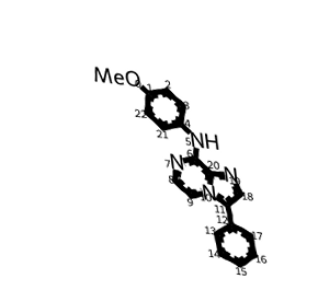 COc1ccc(Nc2nccn3c(-c4ccccc4)cnc23)cc1